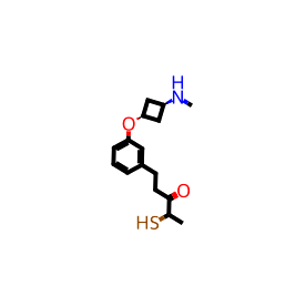 CN[C@H]1C[C@H](Oc2cccc(CCC(=O)C(C)S)c2)C1